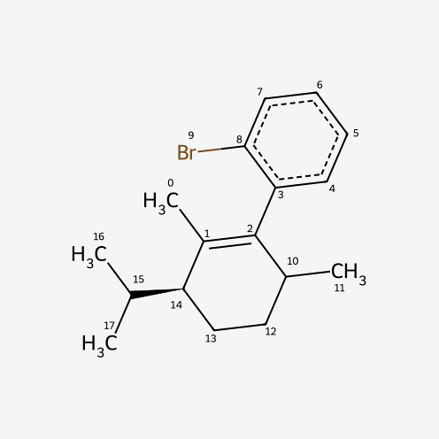 CC1=C(c2ccccc2Br)C(C)CC[C@H]1C(C)C